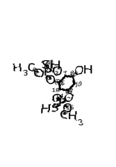 COP(=O)(S)O[C@@H]1CC(O)C[C@@H](OP(=O)(S)OC)C1